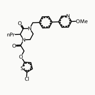 CCCC1C(=O)N(Cc2ccc(-c3ccc(OC)nc3)cc2)CCN1C(=O)COc1ccc(Cl)s1